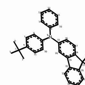 CC(C)(C)c1ccc(N(c2ccccc2)c2ccc3c(c2)-c2ccccc2C3(C)C)cc1